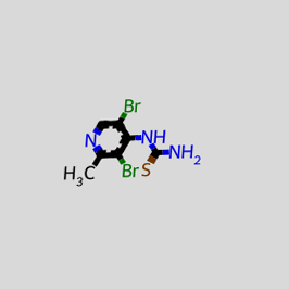 Cc1ncc(Br)c(NC(N)=S)c1Br